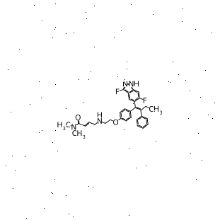 CC/C(=C(/c1ccc(OCCNC/C=C/C(=O)N(C)C)cc1)c1cc2c(F)n[nH]c2cc1F)c1ccccc1